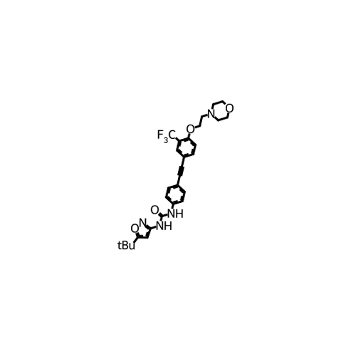 CC(C)(C)c1cc(NC(=O)Nc2ccc(C#Cc3ccc(OCCN4CCOCC4)c(C(F)(F)F)c3)cc2)no1